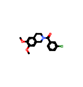 COc1cc2c(cc1OC)CN(C(=O)c1cccc(Cl)c1)CC2